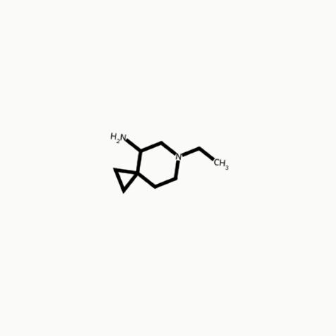 CCN1CCC2(CC2)C(N)C1